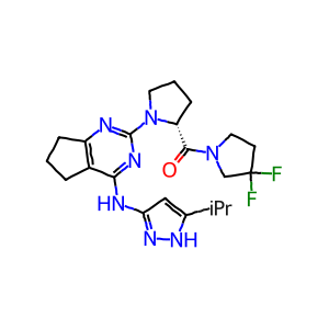 CC(C)c1cc(Nc2nc(N3CCC[C@@H]3C(=O)N3CCC(F)(F)C3)nc3c2CCC3)n[nH]1